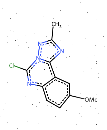 COc1ccc2nc(Cl)n3nc(C)nc3c2c1